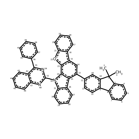 CC1(C)c2ccccc2-c2ccc(-c3cc4c5ccccc5oc4c4c3c3ccccc3n4-c3nc(-c4ccccc4)c4ccccc4n3)cc21